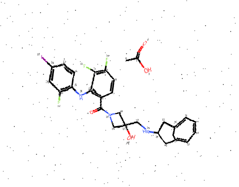 CC(=O)O.O=C(c1ccc(F)c(F)c1Nc1ccc(I)cc1F)N1CC(O)(CNC2Cc3ccccc3C2)C1